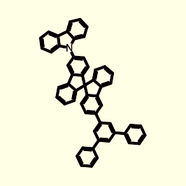 c1ccc(-c2cc(-c3ccccc3)cc(-c3ccc4c(c3)-c3ccccc3C43c4ccccc4-c4cc(-n5c6ccccc6c6ccccc65)ccc43)c2)cc1